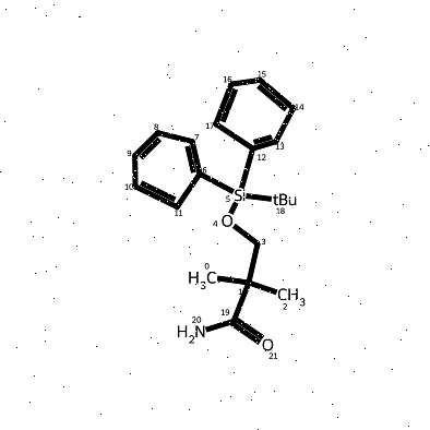 CC(C)(CO[Si](c1ccccc1)(c1ccccc1)C(C)(C)C)C(N)=O